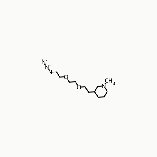 CN1CCCC(CCOCCOCCN=[N+]=[N-])C1